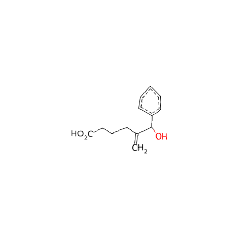 C=C(CCCC(=O)O)C(O)c1ccccc1